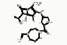 CC(O)C1C(=O)N2C(C(=O)O)=C(SC3CNC(C(=O)N4CCCN(C=N)CC4)C3)C(C)[C@@H]12